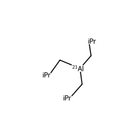 CC(C)[CH2][21Al]([CH2]C(C)C)[CH2]C(C)C